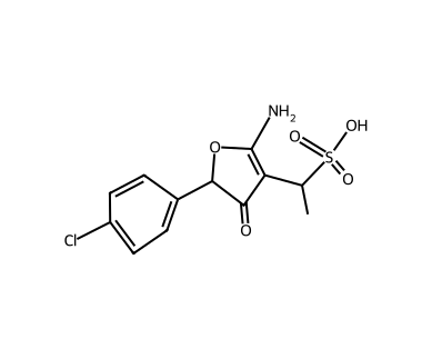 CC(C1=C(N)OC(c2ccc(Cl)cc2)C1=O)S(=O)(=O)O